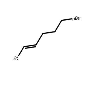 CCC=CCCC[CH]CCC